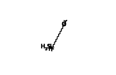 C=C(C)COCCCCCCCCCCCCCCCCCC(F)(F)[SiH3]